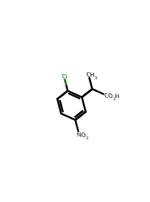 CC(C(=O)O)c1cc([N+](=O)[O-])ccc1Cl